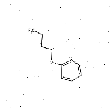 FC(F)(F)CCCOc1c[c]ccc1